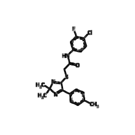 Cc1ccc(C2=NC(C)(C)N=C2SCC(=O)Nc2ccc(Cl)c(F)c2)cc1